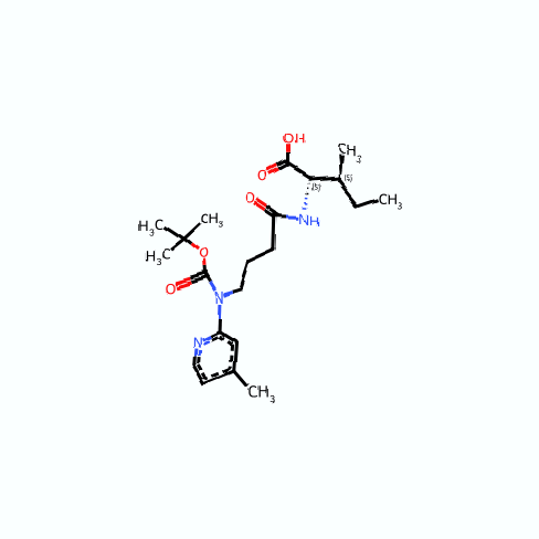 CC[C@H](C)[C@H](NC(=O)CCCN(C(=O)OC(C)(C)C)c1cc(C)ccn1)C(=O)O